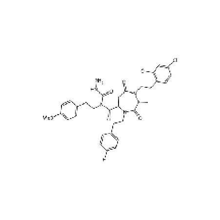 COc1ccc(CCN(C(=O)NN)C(=O)C2CC(=O)N(CCc3ccc(Cl)cc3Cl)C(C)C(=O)N2CCc2ccc(F)cc2)cc1